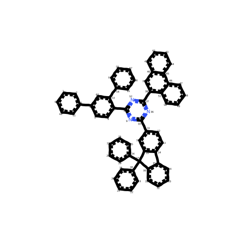 c1ccc(-c2ccc(-c3nc(-c4ccc5c(c4)C(c4ccccc4)(c4ccccc4)c4ccccc4-5)nc(-c4cc5ccccc5c5ccccc45)n3)c(-c3ccccc3)c2)cc1